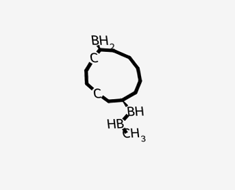 B[C@H]1CCCCC[C@@H](BBC)CCCCC1